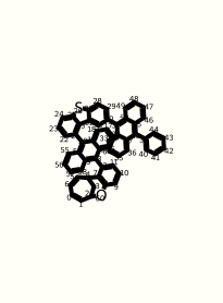 C1=CC2CC(C=C1)c1c(cccc1-c1c3ccccc3c(-c3cccc4sc5ccc(-c6c7ccccc7c(-c7ccccc7)c7ccccc67)cc5c34)c3ccccc13)O2